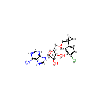 Nc1ncnc2c1ncn2[C@@H]1O[C@H](COCC2(c3ccc(Cl)cc3)CC2)[C@@H](O)[C@H]1O